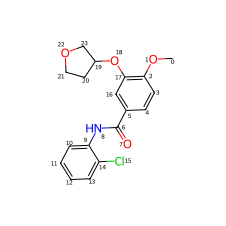 COc1ccc(C(=O)Nc2ccccc2Cl)cc1OC1CCOC1